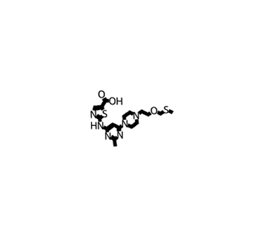 CSCOCCN1CCN(c2cc(Nc3ncc(C(=O)O)s3)nc(C)n2)CC1